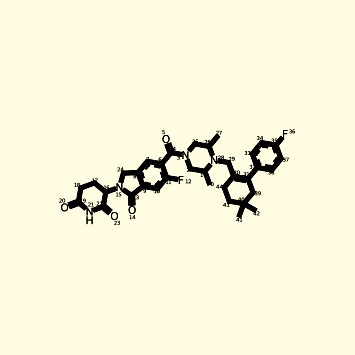 CC1CN(C(=O)c2cc3c(cc2F)C(=O)N(C2CCC(=O)NC2=O)C3)CC(C)N1CC1=C(c2ccc(F)cc2)CC(C)(C)CC1